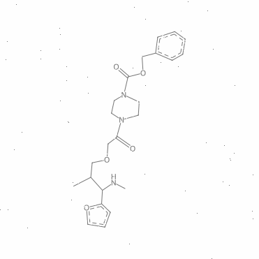 CNC(c1ccco1)C(C)COCC(=O)N1CCN(C(=O)OCc2ccccc2)CC1